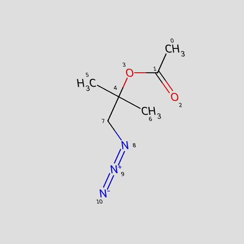 CC(=O)OC(C)(C)CN=[N+]=[N-]